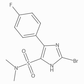 CN(C)S(=O)(=O)c1[nH]c(Br)nc1-c1ccc(F)cc1